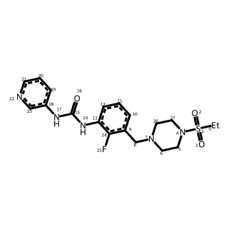 CCS(=O)(=O)N1CCN(Cc2cccc(NC(=O)Nc3cccnc3)c2F)CC1